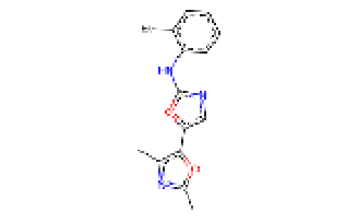 CCc1ccccc1Nc1ncc(-c2oc(C)nc2C)o1